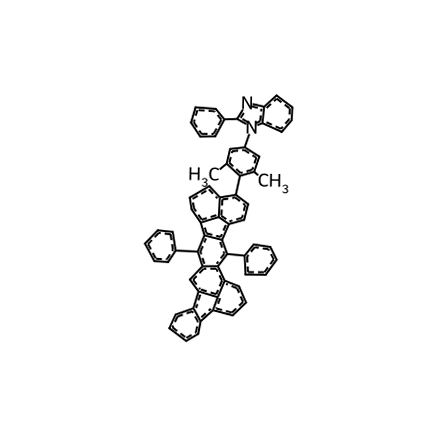 Cc1cc(-n2c(-c3ccccc3)nc3ccccc32)cc(C)c1-c1ccc2c3c(-c4ccccc4)c4c(cc5c6ccccc6c6cccc4c65)c(-c4ccccc4)c3c3cccc1c32